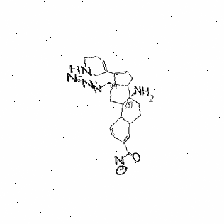 [N-]=[N+]=NC[C@]12CCC3C4C=CC(C(=O)N=O)=CC4CC[C@@]3(N)C1CC=C2C1=CCCNC1